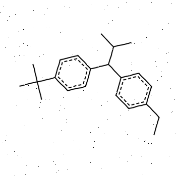 CCc1ccc(C(c2ccc(C(C)(C)C)cc2)C(C)C)cc1